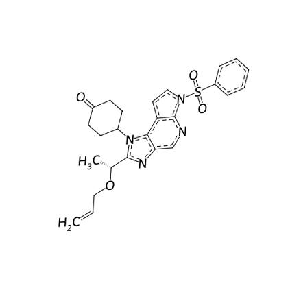 C=CCO[C@H](C)c1nc2cnc3c(ccn3S(=O)(=O)c3ccccc3)c2n1C1CCC(=O)CC1